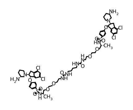 C[C@H](COCCOCCNC(=O)NCCCCNC(=O)NCCOCCOC[C@@H](C)NS(=O)(=O)c1ccc(O[C@H]2c3cc(Cl)cc(Cl)c3C[C@@H]2N2CCC[C@@H](N)C2)cc1)NS(=O)(=O)c1ccc(O[C@H]2c3cc(Cl)cc(Cl)c3C[C@@H]2N2CCC[C@@H](N)C2)cc1